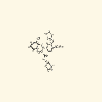 COc1ccc(C(=Cc2c(Cl)cncc2Cl)OC(=O)Cc2ccccc2)cc1OC1CCCC1